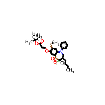 CCCCC1CN(c2ccccc2)c2cc(SC)c(O/C=C/C(=O)OC(C)(C)C)cc2S(=O)(=O)C1(C)F